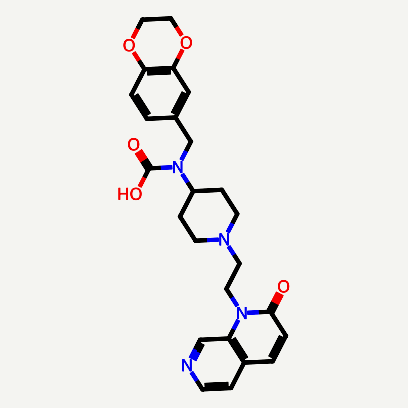 O=C(O)N(Cc1ccc2c(c1)OCCO2)C1CCN(CCn2c(=O)ccc3ccncc32)CC1